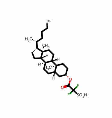 CC(C)CCC[C@@H](C)[C@H]1CC[C@H]2[C@@H]3CC[C@H]4C[C@@H](OC(=O)C(F)(F)S(=O)(=O)O)CC[C@]4(C)[C@H]3CC[C@]12C